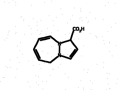 O=C(O)C1C=CN2CC=CC=CN12